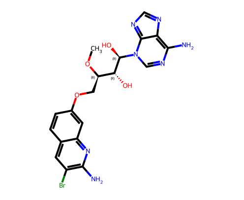 CO[C@H](COc1ccc2cc(Br)c(N)nc2c1)[C@@H](O)[C@@H](O)n1cnc(N)c2ncnc1-2